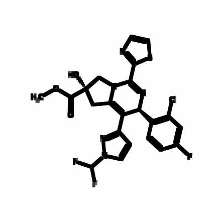 COC(=O)[C@]1(O)CC2=C(c3ccn(C(F)F)n3)[C@H](c3ccc(F)cc3Cl)N=C(c3nccs3)N2C1